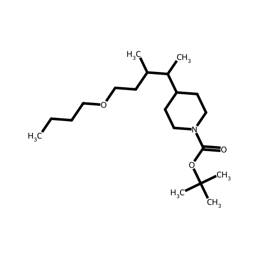 CCCCOCCC(C)C(C)C1CCN(C(=O)OC(C)(C)C)CC1